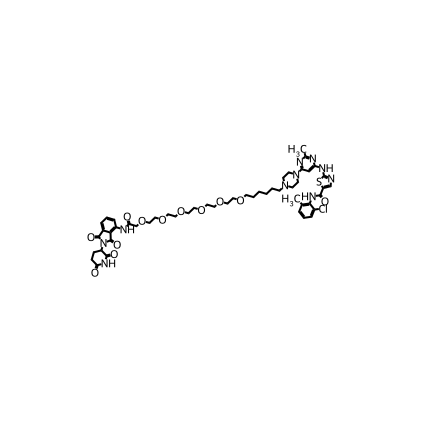 Cc1nc(Nc2ncc(C(=O)Nc3c(C)cccc3Cl)s2)cc(N2CCN(CCCCCCOCCOCCOCCOCCOCCOCC(=O)Nc3cccc4c3C(=O)N(C3CCC(=O)NC3=O)C4=O)CC2)n1